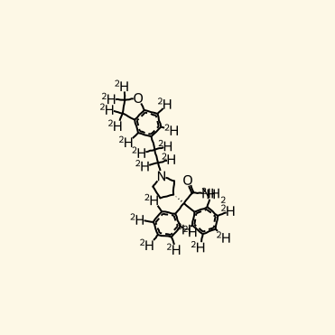 [2H]c1c([2H])c([2H])c(C(C(N)=O)(c2c([2H])c([2H])c([2H])c([2H])c2[2H])[C@@H]2CCN(C([2H])([2H])C([2H])([2H])c3c([2H])c([2H])c4c(c3[2H])C([2H])([2H])C([2H])([2H])O4)C2)c([2H])c1[2H]